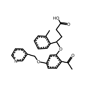 CC(=O)c1ccc(OCc2cccnc2)cc1OC(CCC(=O)O)c1ccccc1C